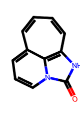 O=c1[nH]c2c3c(cccn13)C=CC=C2